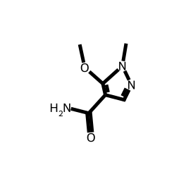 COc1c(C(N)=O)cnn1C